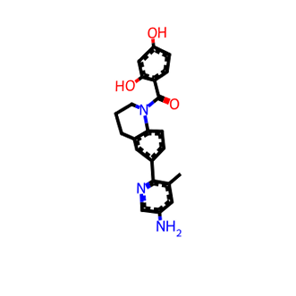 Cc1cc(N)cnc1-c1ccc2c(c1)CCCN2C(=O)c1ccc(O)cc1O